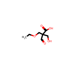 CCOCC(C=O)(CO)C(=O)O